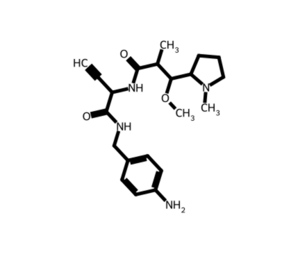 C#CC(NC(=O)C(C)C(OC)C1CCCN1C)C(=O)NCc1ccc(N)cc1